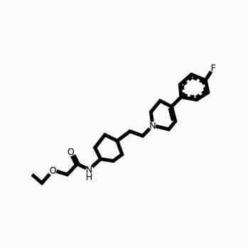 CCOCC(=O)NC1CCC(CCN2CC=C(c3ccc(F)cc3)CC2)CC1